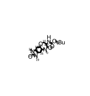 CN1C(=O)[C@@H](NC(=O)OC(C)(C)C)COc2cc3c(cc21)n(C)c(=O)n3C